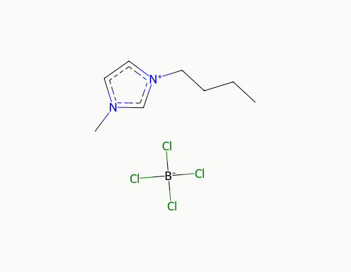 CCCC[n+]1ccn(C)c1.Cl[B-](Cl)(Cl)Cl